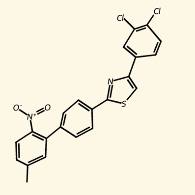 Cc1ccc([N+](=O)[O-])c(-c2ccc(-c3nc(-c4ccc(Cl)c(Cl)c4)cs3)cc2)c1